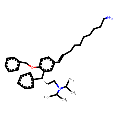 CC(C)N(CC[C@H](c1ccccc1)c1cc(/C=C/CCCCCCCCN)ccc1OCc1ccccc1)C(C)C